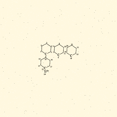 [CH-]1CCCCC1.[CH-]1CCCCC1.[CH-]1CCCCC1.[CH-]1CCCCC1.[Ti+4]